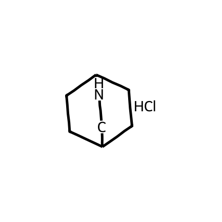 C1CC2CCC1CN2.Cl